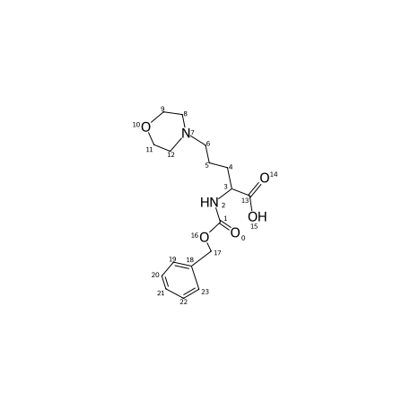 O=C(NC(CCCN1CCOCC1)C(=O)O)OCc1ccccc1